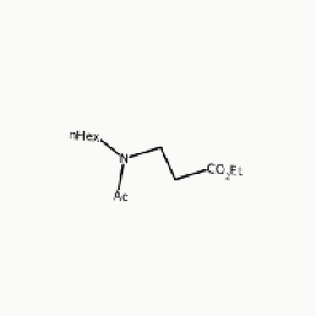 CCCCCCN(CCC(=O)OCC)C(C)=O